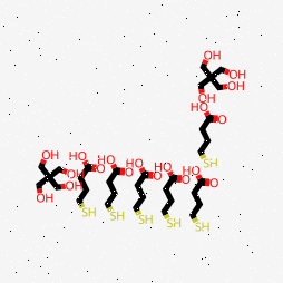 O=C(O)CCCS.O=C(O)CCCS.O=C(O)CCCS.O=C(O)CCCS.O=C(O)CCCS.O=C(O)CCCS.OCC(CO)(CO)CO.OCC(CO)(CO)CO